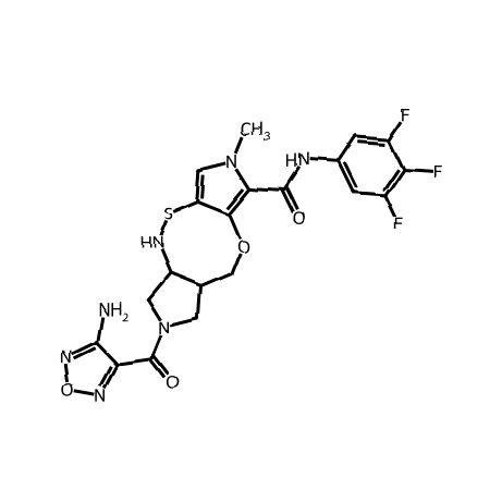 Cn1cc2c(c1C(=O)Nc1cc(F)c(F)c(F)c1)OCC1CN(C(=O)c3nonc3N)CC1NS2